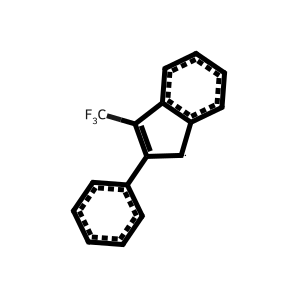 FC(F)(F)C1=C(c2ccccc2)[CH]c2ccccc21